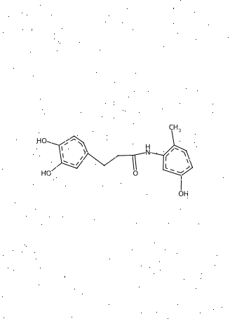 Cc1ccc(O)cc1NC(=O)CCc1ccc(O)c(O)c1